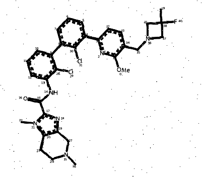 COc1nc(-c2cccc(-c3cccc(NC(=O)c4nc5c(n4C)CCN(C)C5)c3Cl)c2Cl)ccc1CN1CC(C)(F)C1